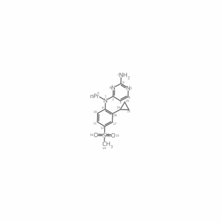 CCCN(c1ccnc(N)n1)c1ccc(S(C)(=O)=O)cc1C1CC1